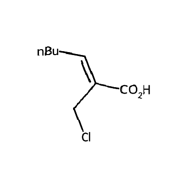 CCCCC=C(CCl)C(=O)O